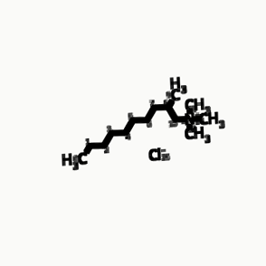 CCCCCCCCC(C)C[N+](C)(C)C.[Cl-]